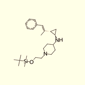 C/C(=C\c1ccccc1)[C@@H]1C[C@H]1NC1CCN(CCO[Si](C)(C)C(C)(C)C)CC1